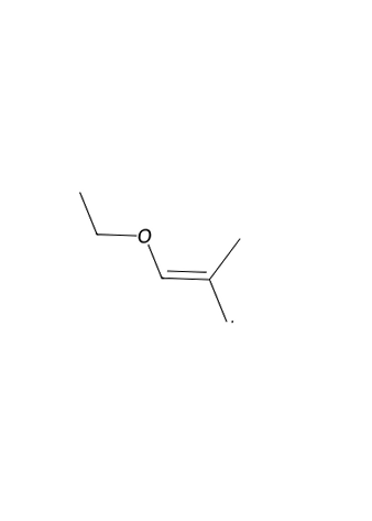 [CH2]C(C)=COCC